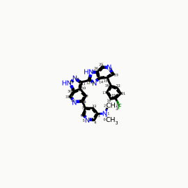 CN(C)c1cncc(-c2cc3c(-c4nc5c(-c6ccc(F)cc6)cncc5[nH]4)n[nH]c3cn2)c1